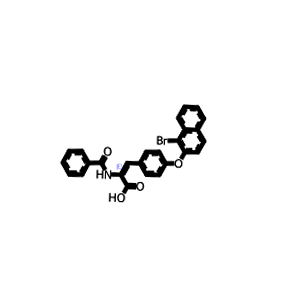 O=C(O)/C(=C\c1ccc(Oc2ccc3ccccc3c2Br)cc1)NC(=O)c1ccccc1